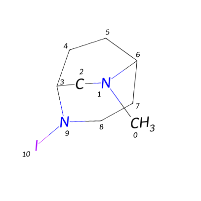 CN1CC2CCC1CCN2I